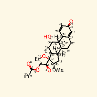 CCO[C@]1(C(=O)COC(=O)C(C)C)[C@H](OC)C[C@H]2[C@@H]3CCC4=CC(=O)C=C[C@]4(C)[C@H]3[C@@H](O)C[C@@]21C